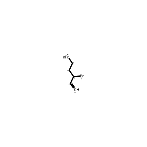 [CH]=CC(Br)CCCCC